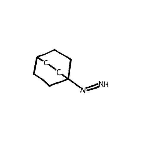 N=NC12CCC(CC1)CC2